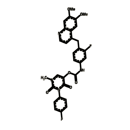 COc1cc2nccc(Cc3ccc(NC(=O)Oc4cn(C)c(=O)n(-c5ccc(F)cc5)c4=O)cc3F)c2cc1OC